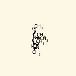 COCCN(Cc1nc(C)no1)C(C)(C)C